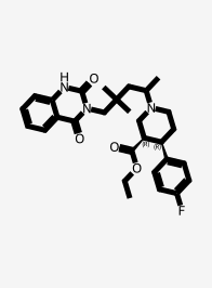 CCOC(=O)[C@H]1CN(C(C)CC(C)(C)Cn2c(=O)[nH]c3ccccc3c2=O)CC[C@H]1c1ccc(F)cc1